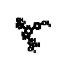 Cc1ccc(-c2cn3c(NC[C@@H](O)C(F)(F)F)nnc3c(-c3cnn(C)c3)n2)cc1